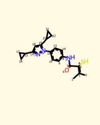 CC(C)=C(S)C(=O)Nc1ccc(-n2nc(C3CC3)cc2C2CC2)cc1